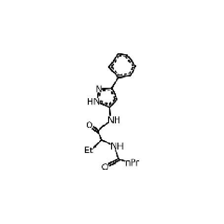 CCCC(=O)NC(CC)C(=O)Nc1cc(-c2ccccc2)n[nH]1